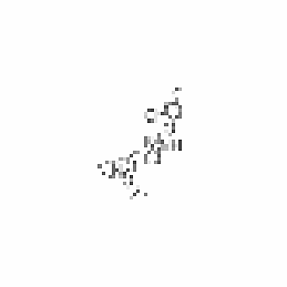 CC(C)COC(=O)N1CCCCC1CCCc1cccc2[nH]c(COc3ccc(Cl)cc3Cl)nc12